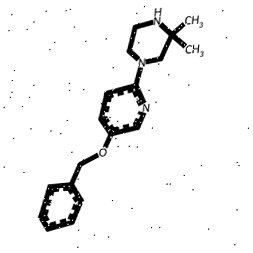 CC1(C)CN(c2ccc(OCc3ccccc3)cn2)CCN1